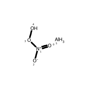 O=[N+]([O-])OO.[AlH3]